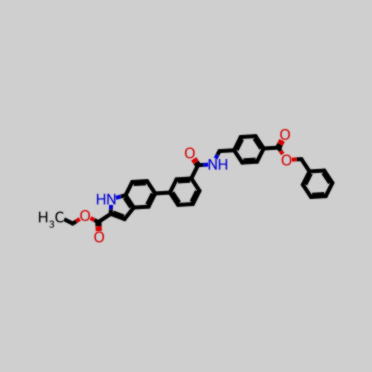 CCOC(=O)c1cc2cc(-c3cccc(C(=O)NCc4ccc(C(=O)OCc5ccccc5)cc4)c3)ccc2[nH]1